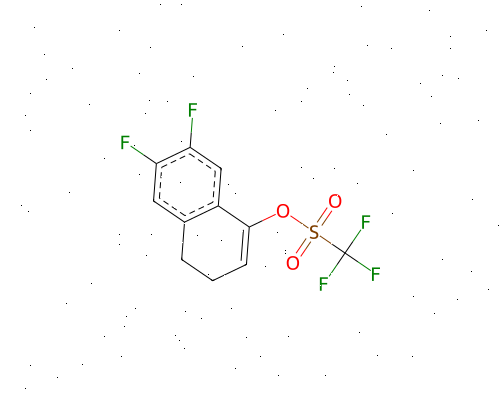 O=S(=O)(OC1=CCCc2cc(F)c(F)cc21)C(F)(F)F